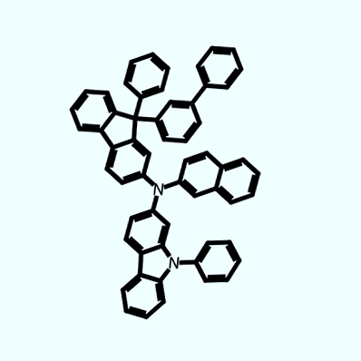 c1ccc(-c2cccc(C3(c4ccccc4)c4ccccc4-c4ccc(N(c5ccc6ccccc6c5)c5ccc6c7ccccc7n(-c7ccccc7)c6c5)cc43)c2)cc1